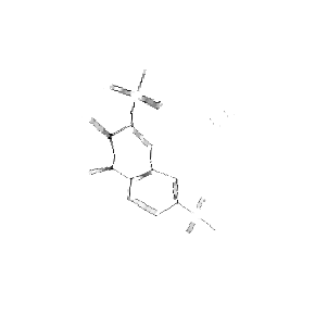 O=C1C(=O)c2ccc(S(=O)(=O)[O-])cc2C=C1S(=O)(=O)[O-].[Na+].[Na+]